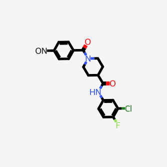 O=Nc1ccc(C(=O)N2CCC(C(=O)Nc3ccc(F)c(Cl)c3)CC2)cc1